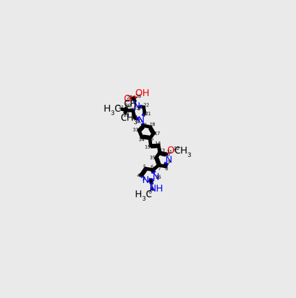 CNc1nccc(-c2cnc(OC)c(C=Cc3ccc(N4CCN(C(=O)O)C(C(C)(C)C)C4)cc3)c2)n1